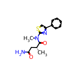 C[C@H](CC(N)=O)C(=O)N(C)c1nc(-c2ccccc2)cs1